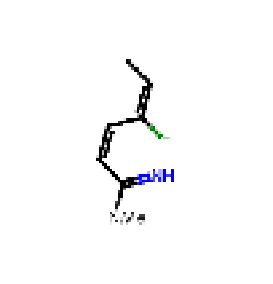 C/C=C(F)\C=C/C(=N)NC